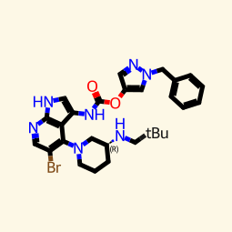 CC(C)(C)CN[C@@H]1CCCN(c2c(Br)cnc3[nH]cc(NC(=O)Oc4cnn(Cc5ccccc5)c4)c23)C1